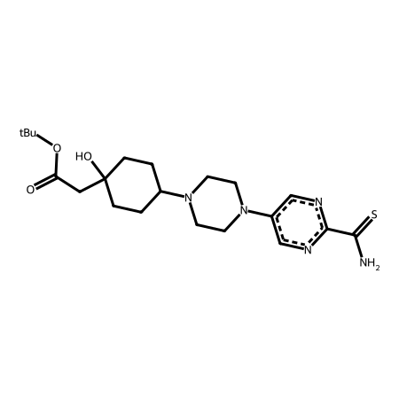 CC(C)(C)OC(=O)CC1(O)CCC(N2CCN(c3cnc(C(N)=S)nc3)CC2)CC1